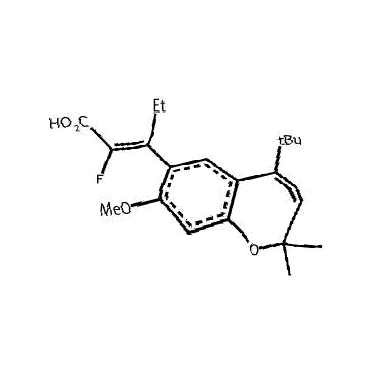 CCC(=C(F)C(=O)O)c1cc2c(cc1OC)OC(C)(C)C=C2C(C)(C)C